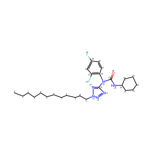 CCCCCCCCCCCCn1nnc(N(C(=O)NC2CCCCC2)c2ccc(F)cc2F)n1